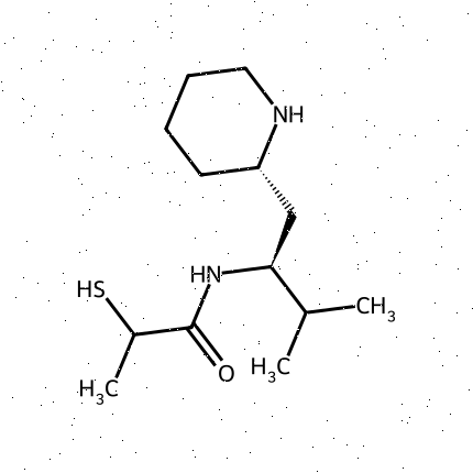 CC(S)C(=O)N[C@@H](C[C@@H]1CCCCN1)C(C)C